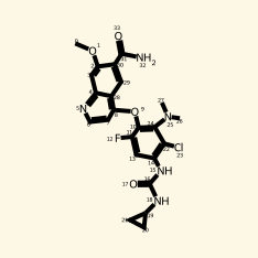 COc1cc2nccc(Oc3c(F)cc(NC(=O)NC4CC4)c(Cl)c3N(C)C)c2cc1C(N)=O